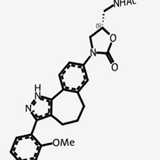 COc1ccccc1-c1n[nH]c2c1CCCc1cc(N3C[C@H](CNC(C)=O)OC3=O)ccc1-2